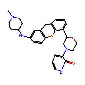 CN1CCC(Nc2ccc3c(c2)Cc2cccc(C4CN(c5ccc[nH]c5=O)CCO4)c2S3)CC1